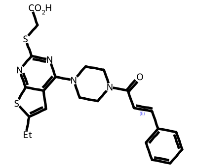 CCc1cc2c(N3CCN(C(=O)/C=C/c4ccccc4)CC3)nc(SCC(=O)O)nc2s1